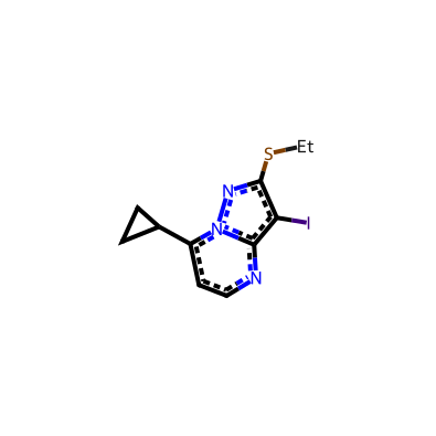 CCSc1nn2c(C3CC3)ccnc2c1I